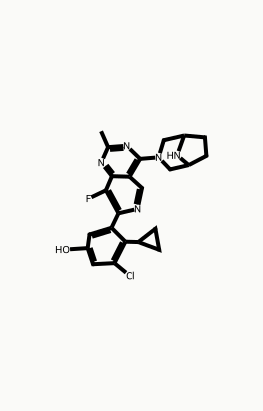 Cc1nc(N2CC3CCC(C2)N3)c2cnc(-c3cc(O)cc(Cl)c3C3CC3)c(F)c2n1